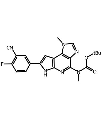 [C-]#[N+]c1cc(-c2cc3c(nc(N(C)C(=O)OC(C)(C)C)c4ncn(C)c43)[nH]2)ccc1F